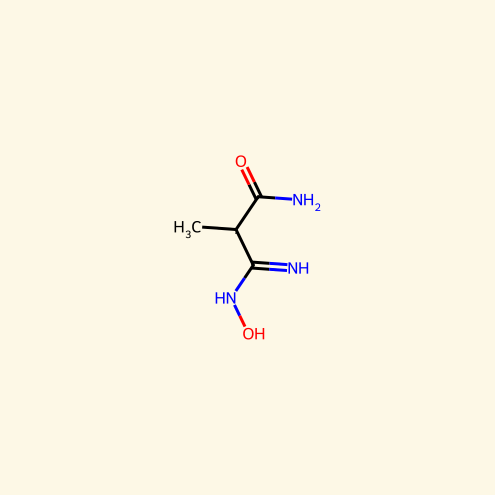 C[C](C(=N)NO)C(N)=O